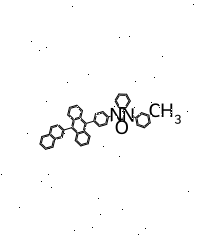 Cc1cccc(-n2c(=O)n(-c3ccc(-c4c5ccccc5c(-c5ccc6ccccc6c5)c5ccccc45)cc3)c3ccccc32)c1